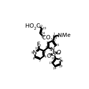 CNCc1cc(-c2cccnc2F)n(S(=O)(=O)c2cccs2)c1.O=C(O)C=CC(=O)O